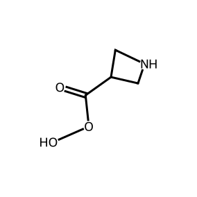 O=C(OO)C1CNC1